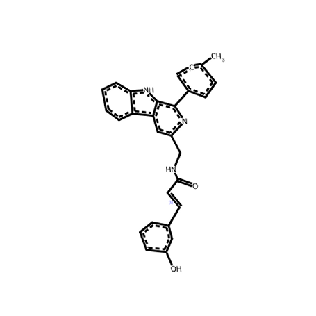 Cc1ccc(-c2nc(CNC(=O)/C=C/c3cccc(O)c3)cc3c2[nH]c2ccccc23)cc1